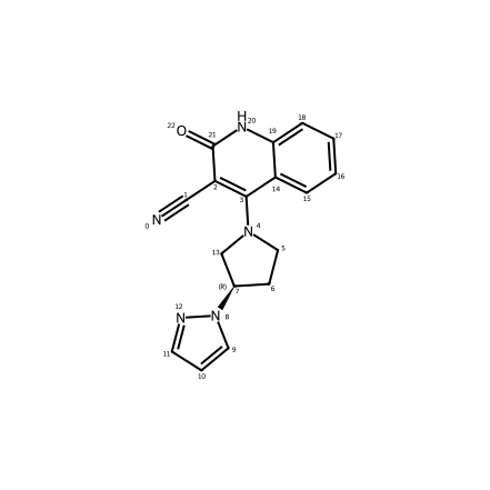 N#Cc1c(N2CC[C@@H](n3cccn3)C2)c2ccccc2[nH]c1=O